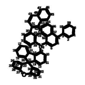 c1ccc(-c2ccc(N(c3cccc4c3-c3ccccc3C43c4ccccc4Oc4ccccc43)c3cccc4c3oc3c5ccccc5ccc43)c3ccccc23)cc1